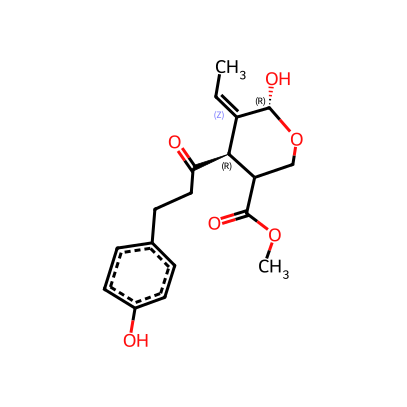 C/C=C1\[C@H](O)OCC(C(=O)OC)[C@H]1C(=O)CCc1ccc(O)cc1